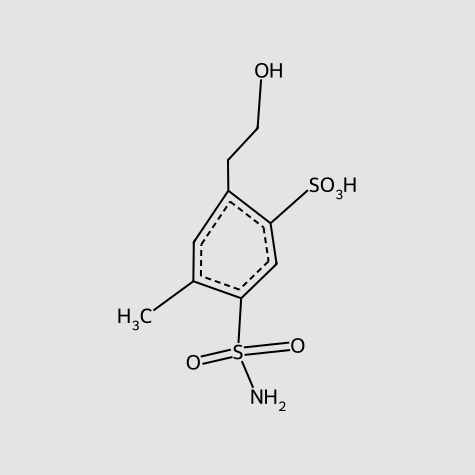 Cc1cc(CCO)c(S(=O)(=O)O)cc1S(N)(=O)=O